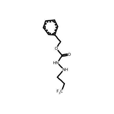 O=C(NNCCC(F)(F)F)OCc1ccccc1